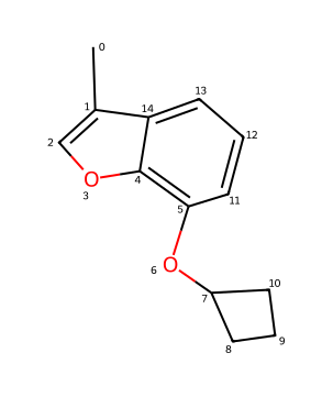 Cc1coc2c(OC3CCC3)cccc12